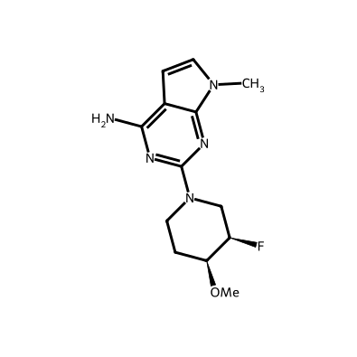 CO[C@H]1CCN(c2nc(N)c3ccn(C)c3n2)C[C@H]1F